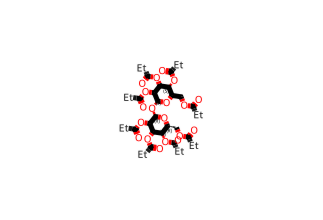 CCC(=O)OCC1O[C@@H](O[C@H]2O[C@H](COC(=O)CC)[C@@H](OC(=O)CC)C(OC(=O)CC)C2OC(=O)CC)C(OC(=O)CC)C(OC(=O)CC)[C@H]1OC(=O)CC